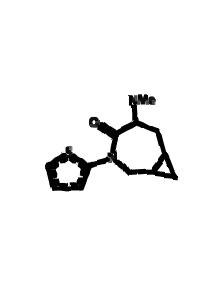 CNC1CC2CC2CN(c2cccs2)C1=O